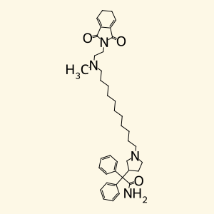 CN(CCCCCCCCCCCN1CCC(C(C(N)=O)(c2ccccc2)c2ccccc2)C1)CCN1C(=O)C2=CCCC=C2C1=O